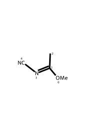 COC(C)=NC#N